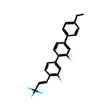 CCc1ccc(-c2ccc(-c3ccc(/C=C/C(F)(F)F)c(F)c3)c(F)c2)cc1